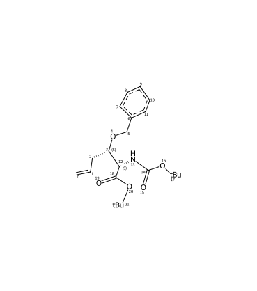 C=CC[C@H](OCc1ccccc1)[C@H](NC(=O)OC(C)(C)C)C(=O)OC(C)(C)C